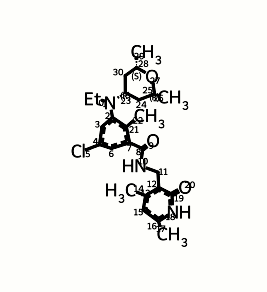 CCN(c1cc(Cl)cc(C(=O)NCc2c(C)cc(C)[nH]c2=O)c1C)[C@H]1C[C@@H](C)O[C@@H](C)C1